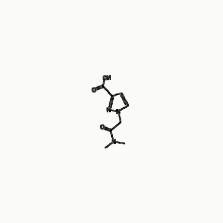 CN(C)C(=O)Cn1ccc(C(=O)O)n1